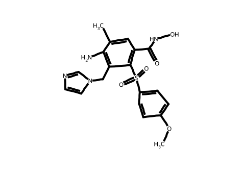 COc1ccc(S(=O)(=O)c2c(C(=O)NO)cc(C)c(N)c2Cn2ccnc2)cc1